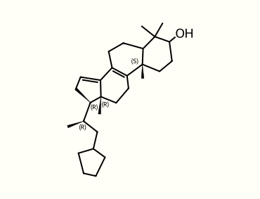 C[C@H](CC1CCCC1)[C@H]1CC=C2C3=C(CC[C@@]21C)[C@@]1(C)CCC(O)C(C)(C)C1CC3